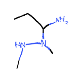 CCC(N)N(C)NC